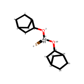 S=[AsH](OC1CC2CCC1C2)OC1CC2CCC1C2